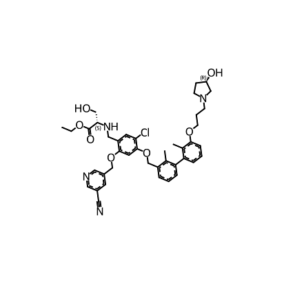 CCOC(=O)[C@H](CO)NCc1cc(Cl)c(OCc2cccc(-c3cccc(OCCCN4CC[C@@H](O)C4)c3C)c2C)cc1OCc1cncc(C#N)c1